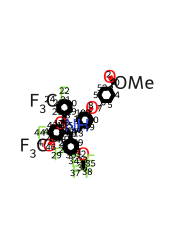 COC(=O)[C@H]1CC[C@H](COc2ccc(C[C@](NC(=O)c3ccc(F)c(C(F)(F)F)c3)(c3cc(F)cc(OC(F)(F)C(F)F)c3)c3ccc(F)c(OC(F)(F)F)c3)cc2)CC1